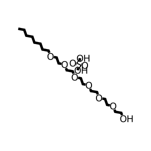 CCCCCCCCOCCOCCOCCOCCOCCOCCO.O=S(=O)(O)O